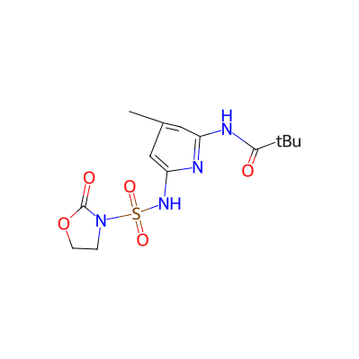 Cc1cc(NC(=O)C(C)(C)C)nc(NS(=O)(=O)N2CCOC2=O)c1